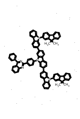 CC1(C)c2ccccc2-c2ccc(-n3c4ccccc4c4ccc(-c5ccc6c7ccc(-c8ccc9c%10ccccc%10n(-c%10ccc%11c(c%10)C(C)(C)c%10ccccc%10-%11)c9c8)cc7n(-c7ccc(-c8nc(-c9ccccc9)c9ccccc9n8)cc7)c6c5)cc43)cc21